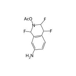 CC(=O)ON1C(F)c2cc(N)ccc2C(F)C1F